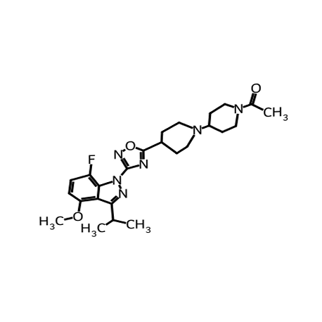 COc1ccc(F)c2c1c(C(C)C)nn2-c1noc(C2CCN(C3CCN(C(C)=O)CC3)CC2)n1